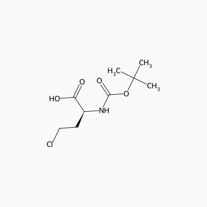 CC(C)(C)OC(=O)N[C@@H](CCCl)C(=O)O